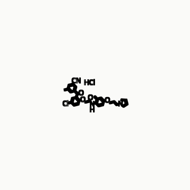 Cc1cc(C#N)cc(C(=O)c2cc(Cl)ccc2OCC(=O)Nc2ccc(OCCCN3CC=CC3)cc2C)c1.Cl